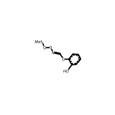 CSOO/N=C/Oc1ccccc1O